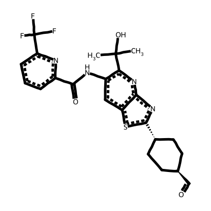 CC(C)(O)c1nc2nc([C@H]3CC[C@H](C=O)CC3)sc2cc1NC(=O)c1cccc(C(F)(F)F)n1